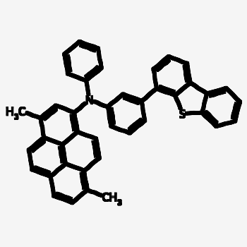 Cc1ccc2ccc3c(C)cc(N(c4ccccc4)c4cccc(-c5cccc6c5sc5ccccc56)c4)c4ccc1c2c34